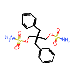 NS(=O)(=O)OCC(COS(N)(=O)=O)(Cc1ccccc1)Cc1ccccc1